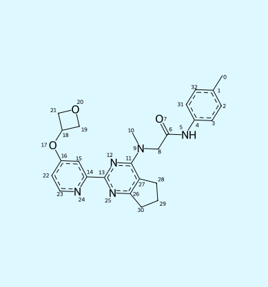 Cc1ccc(NC(=O)CN(C)c2nc(-c3cc(OC4COC4)ccn3)nc3c2CCC3)cc1